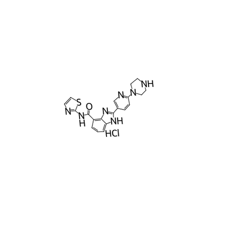 Cl.O=C(Nc1nccs1)c1cccc2[nH]c(-c3ccc(N4CCNCC4)nc3)nc12